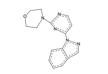 c1ccc2c(c1)cnn2-c1ccnc(N2CCOCC2)n1